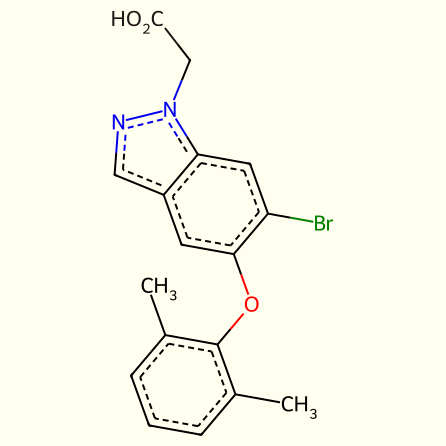 Cc1cccc(C)c1Oc1cc2cnn(CC(=O)O)c2cc1Br